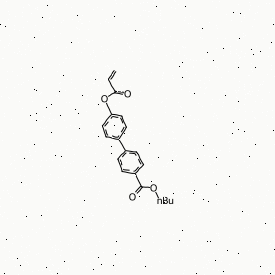 C=CC(=O)Oc1ccc(-c2ccc(C(=O)OCCCC)cc2)cc1